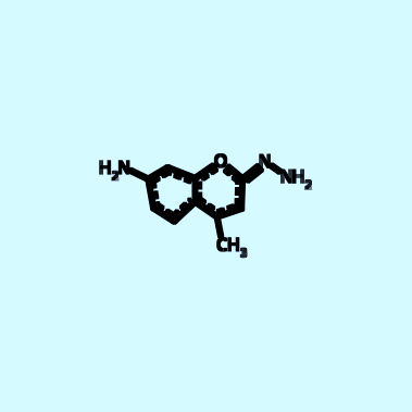 Cc1cc(=NN)oc2cc(N)ccc12